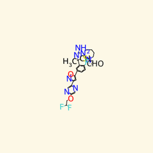 CC(C)(/N=C(/N)N1CCCCN(C=O)S1)c1cc(-c2cc(-c3cnc(OCC(F)F)cn3)no2)ccc1F